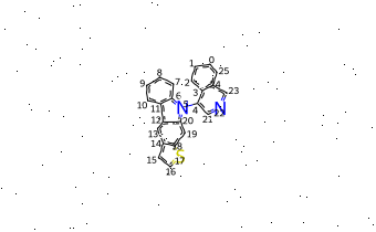 c1ccc2c(-n3c4ccccc4c4cc5ccsc5cc43)cncc2c1